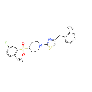 Cc1ccccc1Cc1csc(N2CCC(S(=O)(=O)c3cc(F)ccc3C)CC2)n1